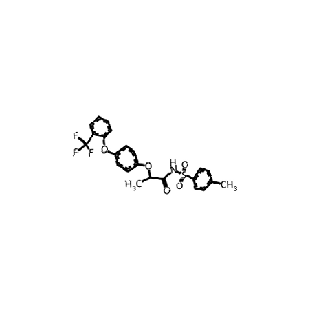 Cc1ccc(S(=O)(=O)NC(=O)C(C)Oc2ccc(Oc3ccccc3C(F)(F)F)cc2)cc1